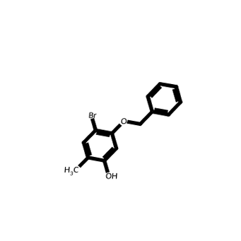 Cc1cc(Br)c(OCc2ccccc2)cc1O